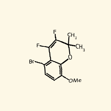 COc1ccc(Br)c2c1OC(C)(C)C(F)=C2F